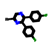 CC(C)c1cnc(-c2ccc(F)cc2)c(-c2ccc(F)cc2)n1